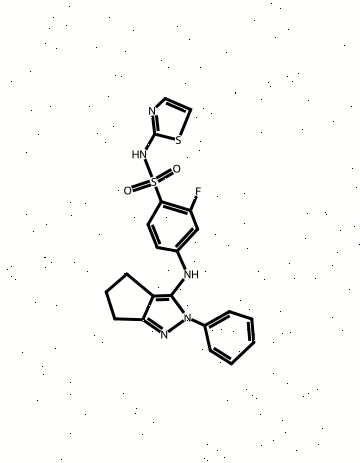 O=S(=O)(Nc1nccs1)c1ccc(Nc2c3c(nn2-c2ccccc2)CCC3)cc1F